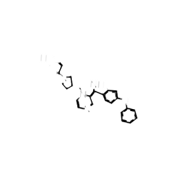 C=CC(=O)N1CC[C@@H](CN2C=CN=C/C2=C(/N)c2ccc(Oc3ccccc3)cc2)C1